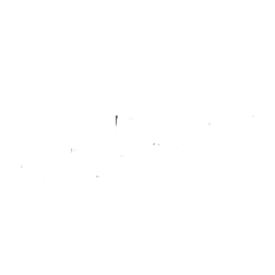 C[C@]12CC[C@H]3[C@@H](CC[C@@H]4C[C@@H](OP(=O)(O)O)CC[C@@]43C)[C@H]1CC[C@@H]2O